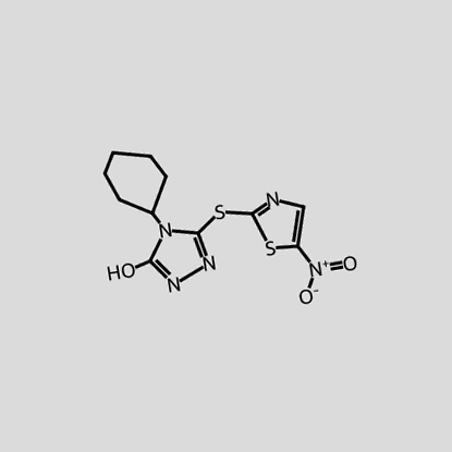 O=[N+]([O-])c1cnc(Sc2nnc(O)n2C2CCCCC2)s1